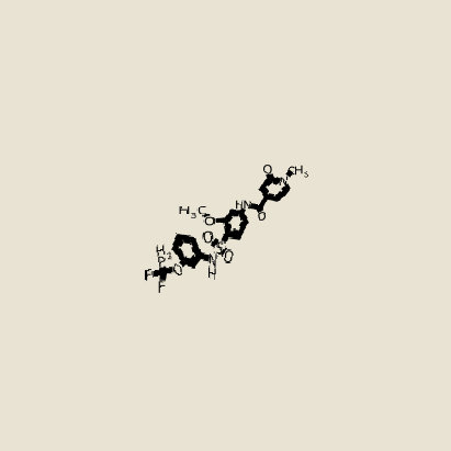 COc1cc(NC(=O)c2ccn(C)c(=O)c2)ccc1S(=O)(=O)Nc1cccc(OC(F)(F)P)c1